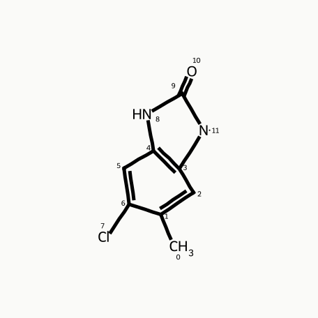 Cc1cc2c(cc1Cl)NC(=O)[N]2